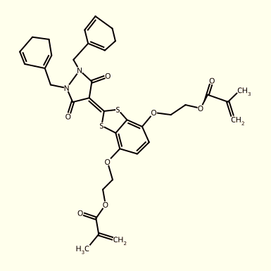 C=C(C)C(=O)OCCOc1ccc(OCCOC(=O)C(=C)C)c2c1SC(=C1C(=O)N(CC3=CCCC=C3)N(CC3=CCCC=C3)C1=O)S2